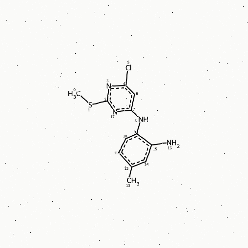 CSc1nc(Cl)cc(Nc2ccc(C)cc2N)n1